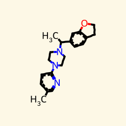 Cc1ccc(N2CCN(C(C)c3ccc4c(c3)OCC4)CC2)nc1